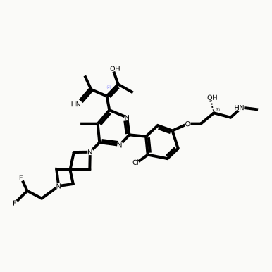 CNC[C@@H](O)COc1ccc(Cl)c(-c2nc(/C(C(C)=N)=C(\C)O)c(C)c(N3CC4(CN(CC(F)F)C4)C3)n2)c1